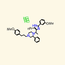 CCCc1[nH]c(-c2cccc(OC)c2)nc1C(C)N1CCN(CCCc2ccc(OC)cc2)CC1c1ccccc1.Cl.Cl.Cl